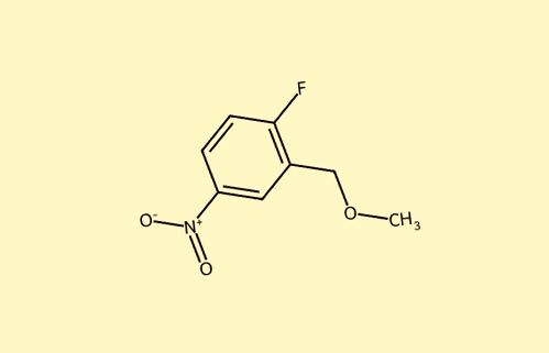 COCc1cc([N+](=O)[O-])ccc1F